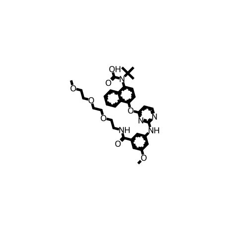 COCCOCCOCCNC(=O)c1cc(Nc2nccc(Oc3ccc(N(C(=O)O)C(C)(C)C)c4ccccc34)n2)cc(OC)c1